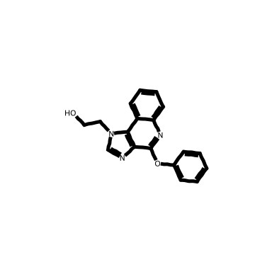 OCCn1cnc2c(Oc3ccccc3)nc3ccccc3c21